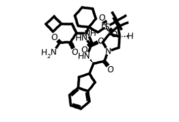 CC1(C)[C@@H]2[C@@H](C(=O)NC(CC3CCC3)C(=O)C(N)=O)N(C(=O)[C@@H](NC(=O)NC3(CS(=O)(=O)C(C)(C)C)CCCCC3)C3Cc4ccccc4C3)C[C@@H]21